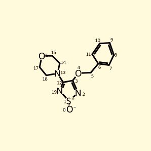 [O-][s+]1nc(OCc2ccccc2)c(N2CCOCC2)n1